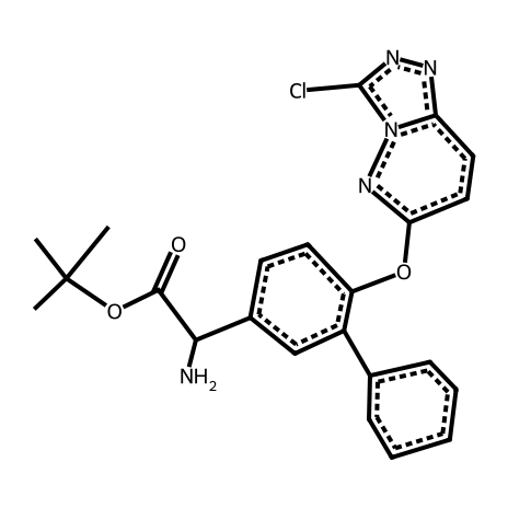 CC(C)(C)OC(=O)C(N)c1ccc(Oc2ccc3nnc(Cl)n3n2)c(-c2ccccc2)c1